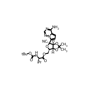 CC(C)[C@@H](NC(=O)OC(C)(C)C)C(=O)OC[C@H]1O[C@@](C#N)(c2ccc3c(N)ncnn23)[C@@H]2OC(C)(C)O[C@@H]21